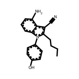 CCCCc1c(C#N)c2c(N)cccc2n1-c1ccc(O)cc1